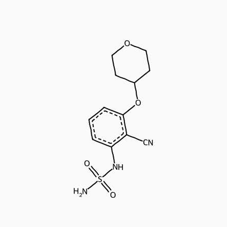 N#Cc1c(NS(N)(=O)=O)cccc1OC1CCOCC1